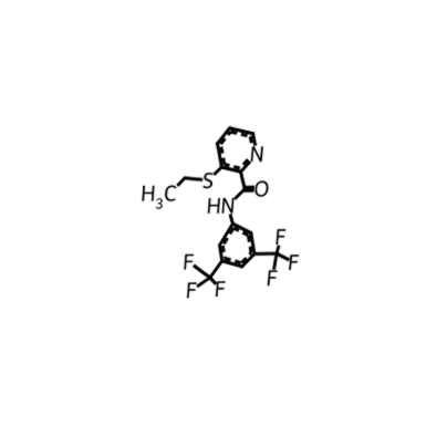 CCSc1cccnc1C(=O)Nc1cc(C(F)(F)F)cc(C(F)(F)F)c1